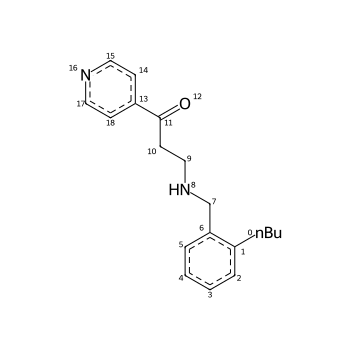 CCCCc1ccccc1CNCCC(=O)c1ccncc1